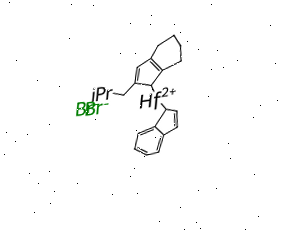 CC(C)CC1=CC2=C(CCCC2)[CH]1[Hf+2][CH]1C=Cc2ccccc21.[Br-].[Br-]